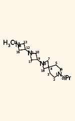 CC(C)N1CCC2(CC1)CN(C1CN(C3CN(C)C3)C1)C2